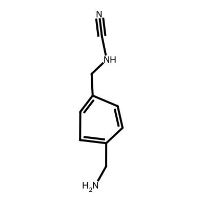 N#CNCc1ccc(CN)cc1